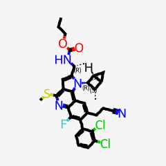 CCCOC(=O)N[C@H](C)c1cc2c(SC)nc3c(F)c(-c4cccc(Cl)c4Cl)c(CCC#N)cc3c2n1[C@@H]1[C@@H](C)C2C[C@@H]21